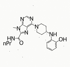 CCCNC(=O)c1nc2c(N3CCC(Nc4ccccc4O)CC3)ncnc2n1C